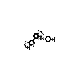 CN1CCOc2cc(-c3ccc4ncnc(N[C@H]5CC[C@H](N(C)C)CC5)c4c3)cnc21